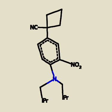 CC(C)CN(CC(C)C)c1ccc(C2(C#N)CCC2)cc1[N+](=O)[O-]